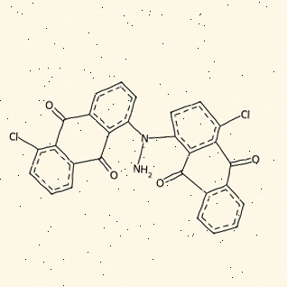 NN(c1cccc2c1C(=O)c1cccc(Cl)c1C2=O)c1ccc(Cl)c2c1C(=O)c1ccccc1C2=O